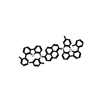 Cc1ccc(C)c(N(c2ccc3ccc4c(N(c5cc(C)ccc5C)c5cccc6c5oc5c(-c7ccccc7C)cccc56)ccc5ccc2c3c54)c2cccc3c2oc2c(-c4ccccc4C)cccc23)c1